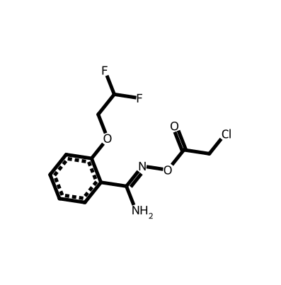 NC(=NOC(=O)CCl)c1ccccc1OCC(F)F